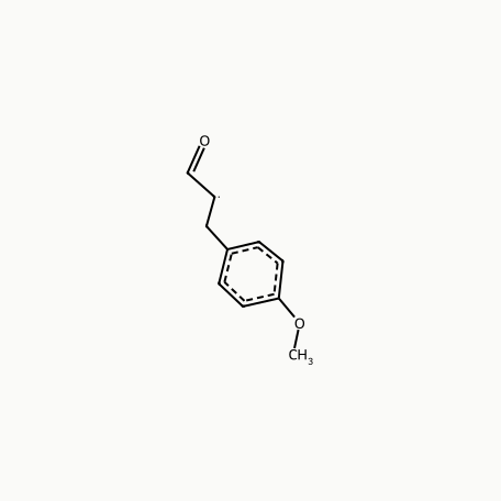 COc1ccc(C[CH]C=O)cc1